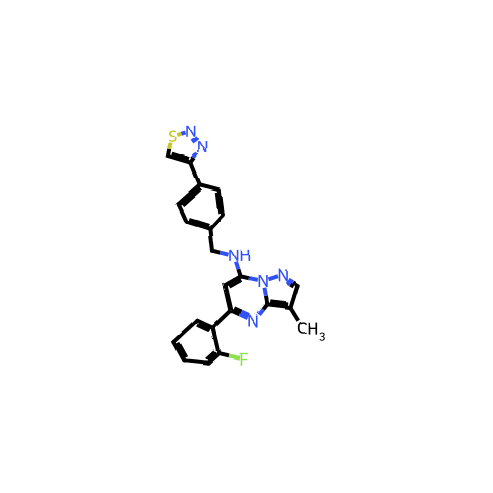 Cc1cnn2c(NCc3ccc(-c4csnn4)cc3)cc(-c3ccccc3F)nc12